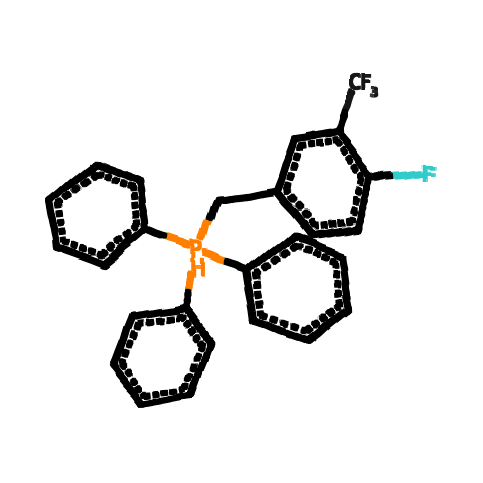 Fc1ccc(C[PH](c2ccccc2)(c2ccccc2)c2ccccc2)cc1C(F)(F)F